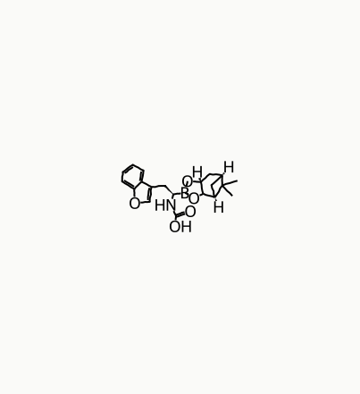 CC1(C)[C@H]2C[C@@H]1C1OB([C@H](Cc3coc4ccccc34)NC(=O)O)O[C@@H]1C2